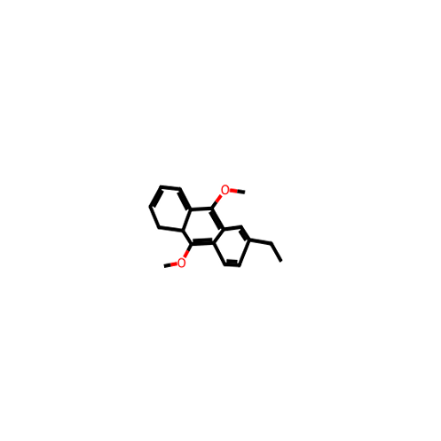 CCc1ccc2c(c1)=C(OC)C1=CC=CCC1C=2OC